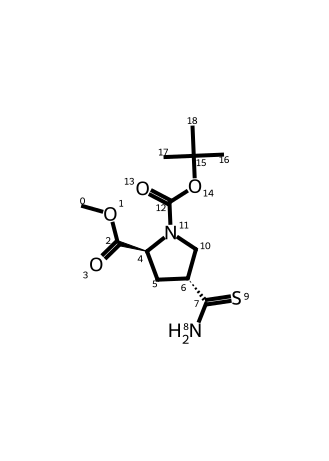 COC(=O)[C@@H]1C[C@@H](C(N)=S)CN1C(=O)OC(C)(C)C